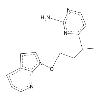 CC(CCOn1ccc2cccnc21)c1ccnc(N)n1